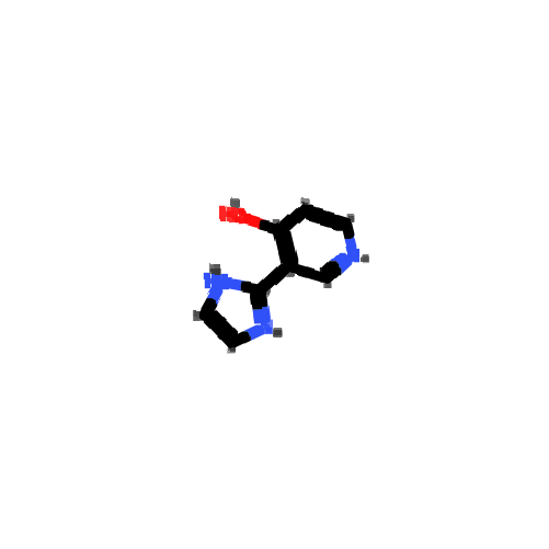 Oc1ccncc1-c1ncc[nH]1